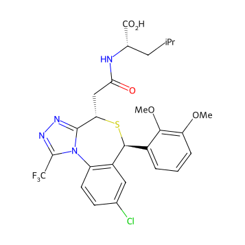 COc1cccc([C@@H]2S[C@@H](CC(=O)N[C@@H](CC(C)C)C(=O)O)c3nnc(C(F)(F)F)n3-c3ccc(Cl)cc32)c1OC